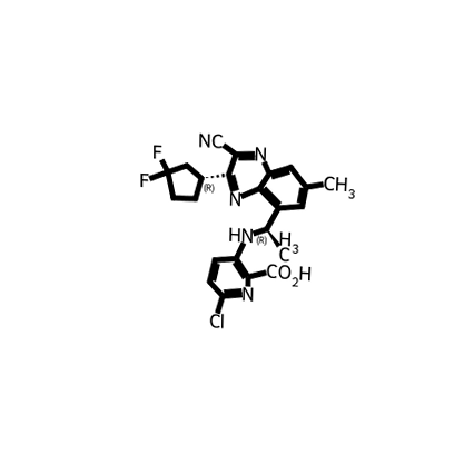 Cc1cc([C@@H](C)Nc2ccc(Cl)nc2C(=O)O)c2nc([C@@H]3CCC(F)(F)C3)c(C#N)nc2c1